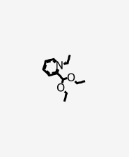 CCOC(OCC)c1cccc[n+]1CC